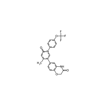 Cc1cc(=O)n(-c2ccc(OC(F)(F)F)cc2)cc1-c1ccc2c(c1)NC(=O)CO2